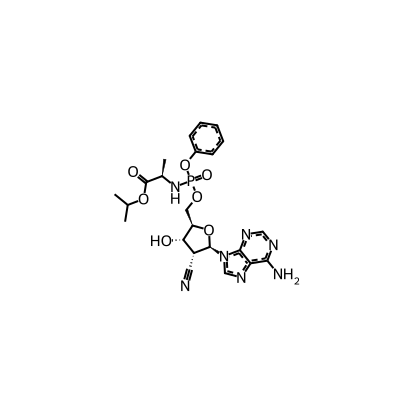 CC(C)OC(=O)[C@@H](C)NP(=O)(OC[C@H]1O[C@@H](n2cnc3c(N)ncnc32)[C@H](C#N)[C@@H]1O)Oc1ccccc1